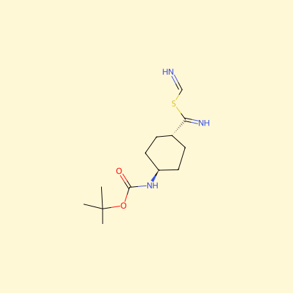 CC(C)(C)OC(=O)N[C@H]1CC[C@H](C(=N)SC=N)CC1